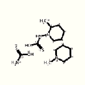 CC1CCCCN1NC(O)=S.CN1CCCCC1.NC(O)=S